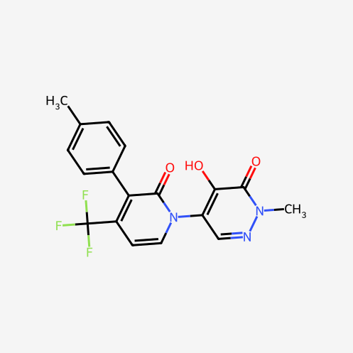 Cc1ccc(-c2c(C(F)(F)F)ccn(-c3cnn(C)c(=O)c3O)c2=O)cc1